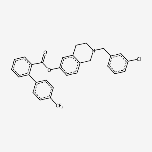 O=C(Oc1ccc2c(c1)CCN(Cc1cccc(Cl)c1)C2)c1ccccc1-c1ccc(C(F)(F)F)cc1